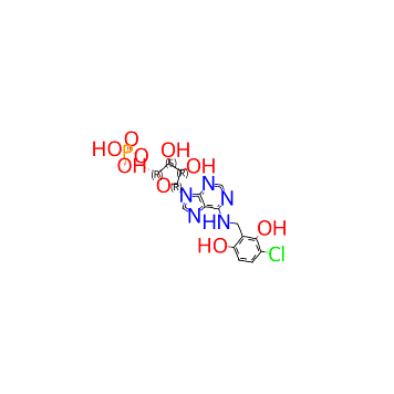 O=P(O)(O)OC[C@H]1O[C@@H](n2cnc3c(NCc4c(O)ccc(Cl)c4O)ncnc32)[C@H](O)[C@@H]1O